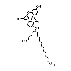 CCCCCCCCCCCCCC(CCCCO)Nc1cccc2c1C(=O)OC21c2ccc(O)cc2Oc2cc(O)ccc21